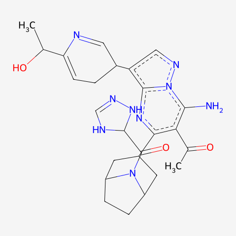 CC(=O)c1c(C2CC3CCC(C2)N3C(=O)C2NC=NN2)nc2c(C3C=NC(C(C)O)=CC3)cnn2c1N